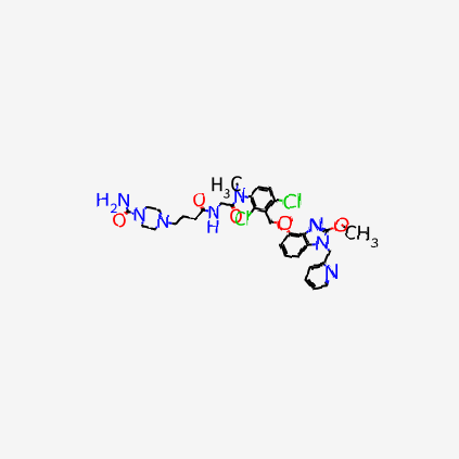 COc1nc2c(OCc3c(Cl)ccc(N(C)C(=O)CNC(=O)CCCN4CCN(C(N)=O)CC4)c3Cl)cccc2n1Cc1ccccn1